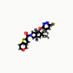 CC1(C)C[C@H]2CN(C(=O)c3cc4c(s3)CCOC4)C[C@H]2[C@@H]1Oc1ccc(Br)nn1